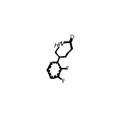 O=C1CCC(c2cccc(F)c2F)CN1